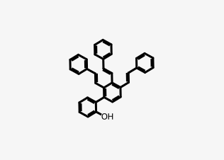 Oc1ccccc1-c1ccc(/C=C/c2ccccc2)c(/C=C/c2ccccc2)c1/C=C/c1ccccc1